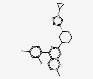 Cc1ccc2c(-c3ccc(Cl)cc3F)nc([C@@H]3CCO[C@@H](c4cnn(C5CC5)c4)C3)nc2n1